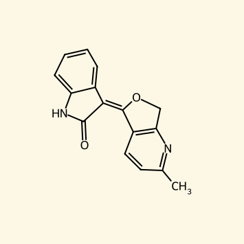 Cc1ccc2c(n1)CO/C2=C1/C(=O)Nc2ccccc21